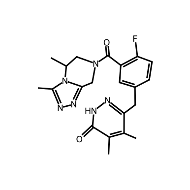 Cc1c(Cc2ccc(F)c(C(=O)N3Cc4nnc(C)n4C(C)C3)c2)n[nH]c(=O)c1C